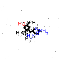 CCc1cc(Cc2cnc(N)nc2N)c(C(C)C)cc1O